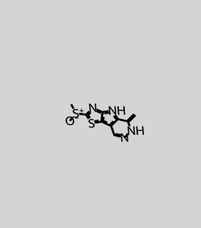 C=C1NN=Cc2c1[nH]c1nc([S+](C)[O-])sc21